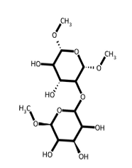 CO[C@H]1OC(OC2[C@@H](OC)O[C@@H](OC)C(O)[C@H]2O)C(O)[C@@H](O)C1O